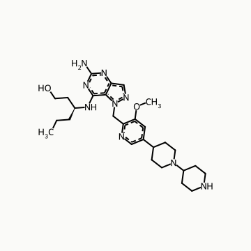 CCC[C@@H](CCO)Nc1nc(N)nc2cnn(Cc3ncc(C4CCN(C5CCNCC5)CC4)cc3OC)c12